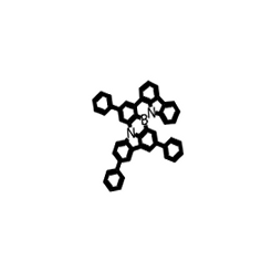 c1ccc(-c2cc3c4c(c2)-n2c5ccc(-c6ccccc6)cc5c5cc(-c6ccccc6)cc(c52)B4n2c4ccccc4c4cccc-3c42)cc1